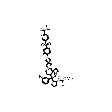 COC(=O)N[C@H]1CCC[C@@H]1[C@](CN1CCC1)(c1cccc(F)c1)C1CCN(CC2(F)CN(c3ccc(S(=O)(=O)c4ccc(C(=O)N(C)C)nc4)cc3F)C2)CC1